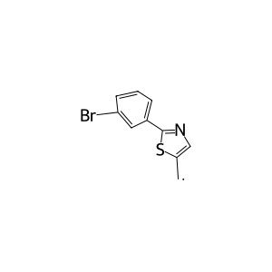 [CH2]c1cnc(-c2cccc(Br)c2)s1